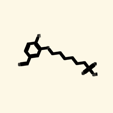 O=Cc1ccc(Cl)c(OCCCCCCS(=O)(=O)O)c1